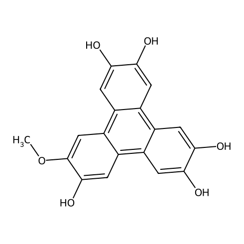 COc1cc2c3cc(O)c(O)cc3c3cc(O)c(O)cc3c2cc1O